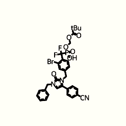 CC(C)(C)C(=O)OCOP(=O)(O)C(F)(F)c1ccc(Cn2c(-c3ccc(C#N)cc3)cn(Cc3ccccc3)c2=O)cc1Br